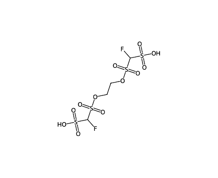 O=S(=O)(O)C(F)S(=O)(=O)OCCOS(=O)(=O)C(F)S(=O)(=O)O